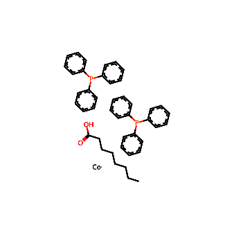 CCCCCCCC(=O)O.[Co].c1ccc(P(c2ccccc2)c2ccccc2)cc1.c1ccc(P(c2ccccc2)c2ccccc2)cc1